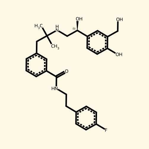 CC(C)(Cc1cccc(C(=O)NCCc2ccc(F)cc2)c1)NC[C@@H](O)c1ccc(O)c(CO)c1